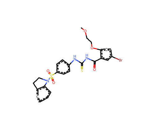 COCCOc1ccc(Br)cc1C(=O)NC(=S)Nc1ccc(S(=O)(=O)N2CCc3ccccc32)cc1